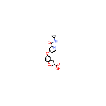 O=C(NC1CC1)c1cc(Oc2ccc3c(c2)CC(C(=O)O)CO3)ccn1